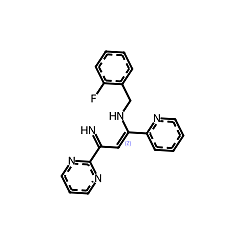 N=C(/C=C(\NCc1ccccc1F)c1ccccn1)c1ncccn1